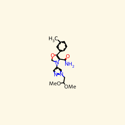 COC(Cn1cc(N2COC(c3cccc(C)c3)=C2C(N)=O)cn1)OC